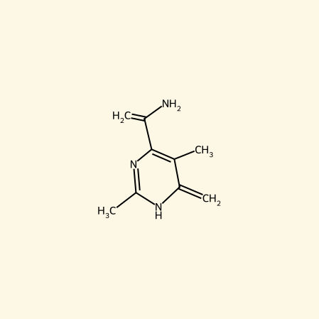 C=C(N)C1=C(C)C(=C)NC(C)=N1